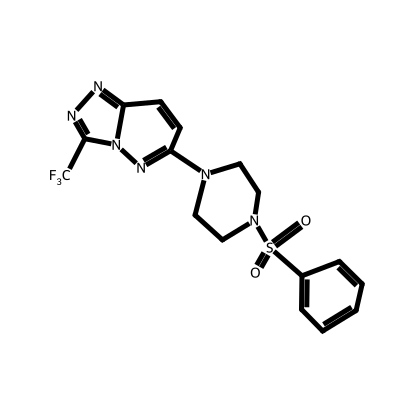 O=S(=O)(c1ccccc1)N1CCN(c2ccc3nnc(C(F)(F)F)n3n2)CC1